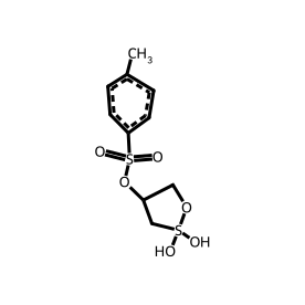 Cc1ccc(S(=O)(=O)OC2COS(O)(O)C2)cc1